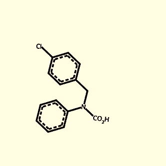 O=C(O)N(Cc1ccc(Cl)cc1)c1ccccc1